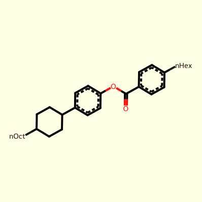 CCCCCCCCC1CCC(c2ccc(OC(=O)c3ccc(CCCCCC)cc3)cc2)CC1